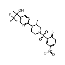 C[C@H]1CN(S(=O)(=O)C2=CC([N+](=O)[O-])=CCC2=S)CCN1c1ncc(C(C)(O)C(F)(F)F)cn1